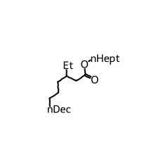 CCCCCCCCCCCCCC(CC)CC(=O)OCCCCCCC